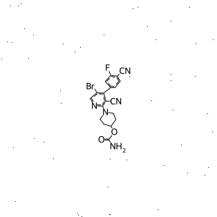 N#Cc1ccc(-c2c(Br)cnc(N3CCC(OC(N)=O)CC3)c2C#N)cc1F